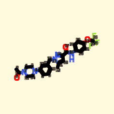 CC(=O)N1CCN(c2cccc(Cn3nc(C(=O)Nc4ccc(OC(F)(F)F)cc4)cc3C)c2)CC1